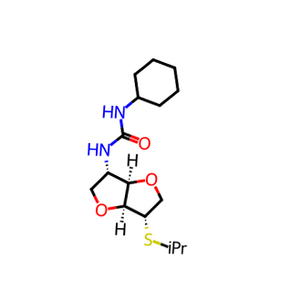 CC(C)S[C@H]1CO[C@H]2[C@@H]1OC[C@@H]2NC(=O)NC1CCCCC1